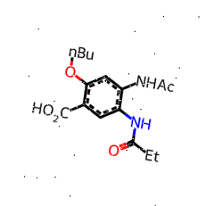 CCCCOc1cc(NC(C)=O)c(NC(=O)CC)cc1C(=O)O